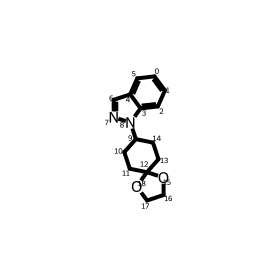 c1ccc2c(c1)cnn2C1CCC2(CC1)OCCO2